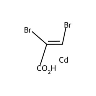 O=C(O)C(Br)=CBr.[Cd]